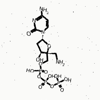 NC[C@]1(COP(=O)(O)OP(=O)(O)OP(=O)(O)O)O[C@@H](n2ccc(N)nc2=O)C[C@@H]1O